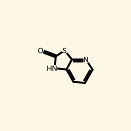 O=c1[nH]c2cccnc2s1